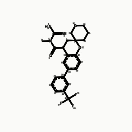 CN(C(=N)N)C(=O)C1C[C@@]2(CCCOC2)Oc2ccc(-c3cccc(C(F)(F)F)c3)cc21